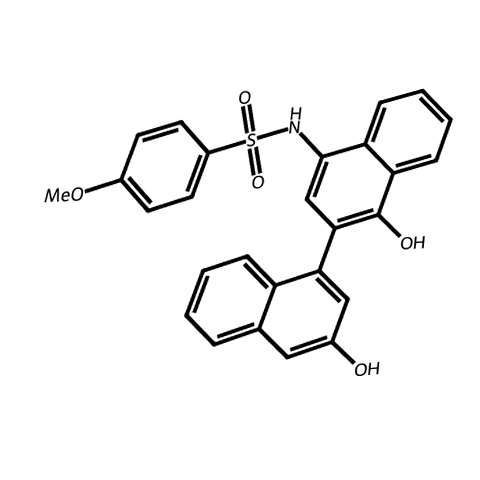 COc1ccc(S(=O)(=O)Nc2cc(-c3cc(O)cc4ccccc34)c(O)c3ccccc23)cc1